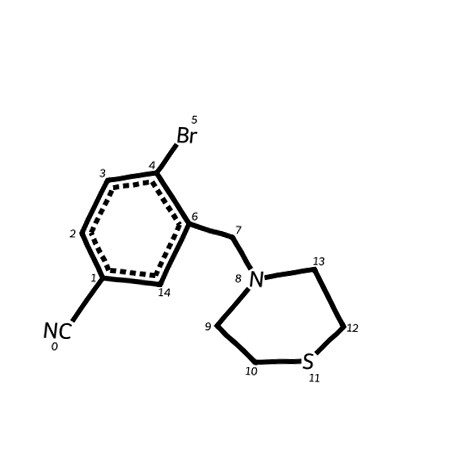 N#Cc1ccc(Br)c(CN2CCSCC2)c1